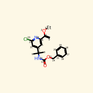 C=C(OCC)c1cc(C(C)(C)NC(=O)OCc2ccccc2)cc(Cl)n1